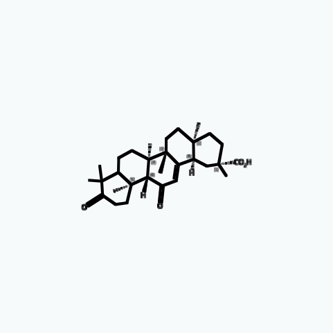 CC1(C)C(=O)CC[C@@]2(C)C1CC[C@]1(C)[C@@H]2C(=O)C=C2[C@@H]3C[C@@](C)(C(=O)O)CC[C@]3(C)CC[C@]21C